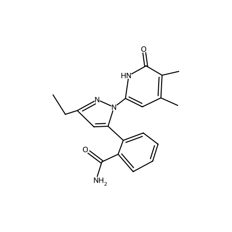 CCc1cc(-c2ccccc2C(N)=O)n(-c2cc(C)c(C)c(=O)[nH]2)n1